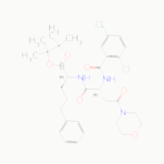 CC1(C)OB([C@H](CCCc2ccccc2)NC(=O)[C@@H](CC(=O)N2CCOCC2)NC(=O)c2cc(Cl)ccc2Cl)OC1(C)C